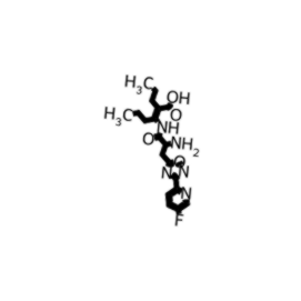 CCC/C(NC(=O)C(N)Cc1nc(-c2ccc(F)cn2)no1)=C(\CCC)C(=O)O